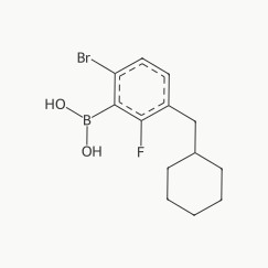 OB(O)c1c(Br)ccc(CC2CCCCC2)c1F